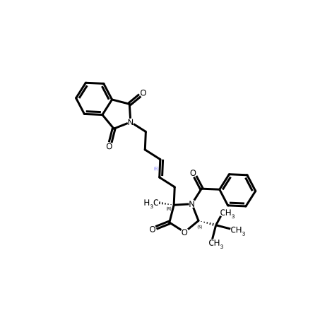 CC(C)(C)[C@@H]1OC(=O)[C@@](C)(C/C=C/CCN2C(=O)c3ccccc3C2=O)N1C(=O)c1ccccc1